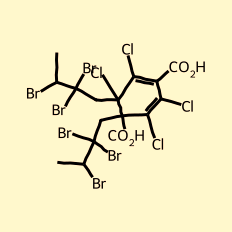 CC(Br)C(Br)(Br)CC1(Cl)C(Cl)=C(C(=O)O)C(Cl)=C(Cl)C1(CC(Br)(Br)C(C)Br)C(=O)O